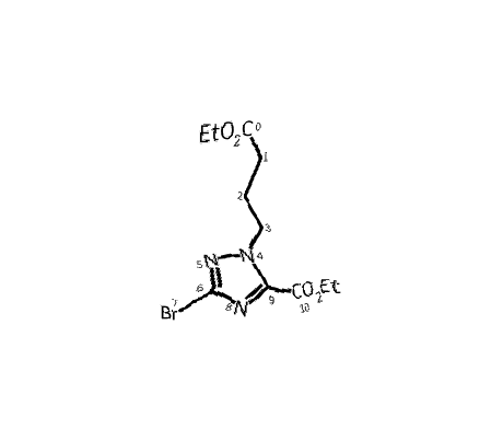 CCOC(=O)CCCn1nc(Br)nc1C(=O)OCC